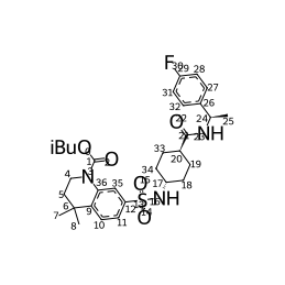 CC(C)COC(=O)N1CCC(C)(C)c2ccc(S(=O)(=O)N[C@H]3CC[C@H](C(=O)N[C@H](C)c4ccc(F)cc4)CC3)cc21